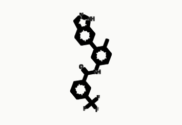 Cc1ccc(NC(=O)c2cccc(C(F)(F)F)c2)cc1-c1ccc2cn[nH]c2c1